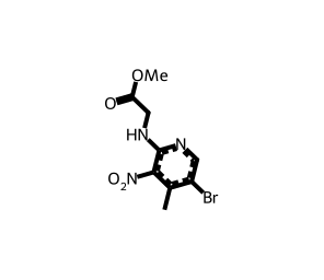 COC(=O)CNc1ncc(Br)c(C)c1[N+](=O)[O-]